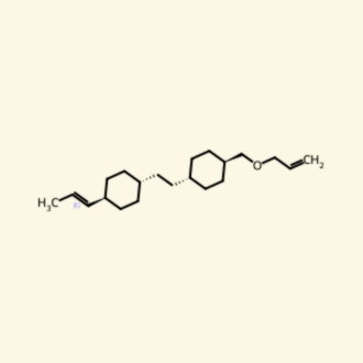 C=CCOC[C@H]1CC[C@H](CC[C@H]2CC[C@H](/C=C/C)CC2)CC1